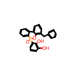 O=P1(c2cccc(O)c2O)Oc2c(Cc3ccccc3)cccc2-c2ccccc21